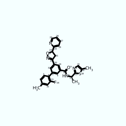 Cc1ccc(-c2cc(C(=O)N[C@H](C)c3ncc(C)s3)cc(C3=NOC(c4ccccn4)C3)c2)c(F)c1